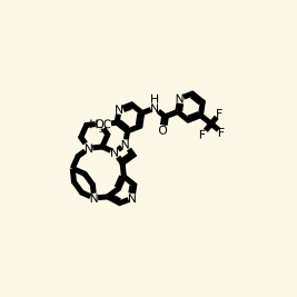 Cc1ncc(NC(=O)c2cc(C(F)(F)F)ccn2)cc1-n1cc2n1C1COCCN1CC1CCN(CC1)c1cncc-2c1